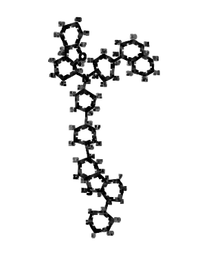 c1ccc(-c2cccc3c2sc2ccc(-c4ccc(-c5ccc(N(c6ccc(-c7cccc8ccccc78)cc6)c6cccc7c6oc6ccccc67)cc5)cc4)cc23)cc1